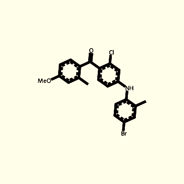 COc1ccc(C(=O)c2ccc(Nc3ccc(Br)cc3C)cc2Cl)c(C)c1